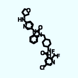 O=C(NC1CCC(Cn2c(=O)n(-c3ccc(NC4CCOC4)nc3)c3ccccc32)CC1)c1cc(Cl)cnc1C(F)F